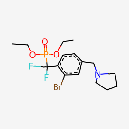 CCOP(=O)(OCC)C(F)(F)c1ccc(CN2CCCC2)cc1Br